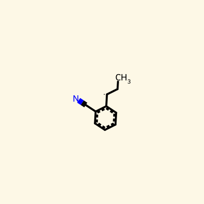 CC[CH]c1ccccc1C#N